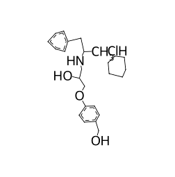 C1CCCCC1.CC(Cc1ccccc1)NCC(O)COc1ccc(CO)cc1.Cl